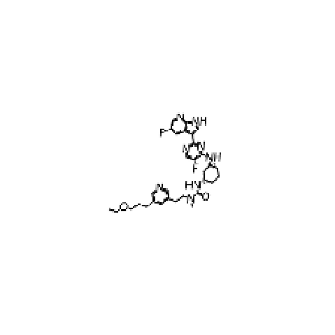 CCOCCCc1cncc(CCN(C)C(=O)N[C@H]2CCC[C@@H](Nc3nc(-c4c[nH]c5ncc(F)cc45)ncc3F)C2)c1